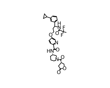 CC(F)(F)C(=O)NC(CCOc1ccc(C(=O)N[C@H]2CCCN(C(=O)[C@H]3COC(=O)C3)C2)nc1)c1cccc(C2CC2)c1